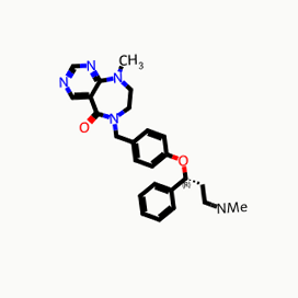 CNCC[C@@H](Oc1ccc(CN2CCN(C)c3ncncc3C2=O)cc1)c1ccccc1